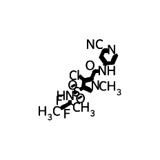 C[C@@H](NS(=O)(=O)c1cn(C)c(C(=O)Nc2ccnc(C#N)c2)c1Cl)C(C)(F)F